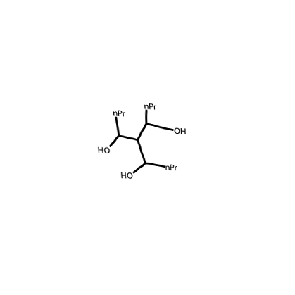 CCCC(O)C(C(O)CCC)C(O)CCC